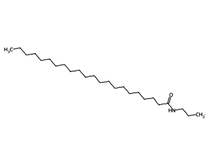 [CH2]CCNC(=O)CCCCCCCCCCCCCCCCCCCCC